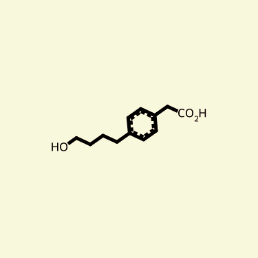 O=C(O)Cc1ccc(CCCCO)cc1